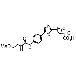 COCCNC(=O)Nc1ccc(-c2cnc(CCC(C)(C)C(=O)O)s2)cc1